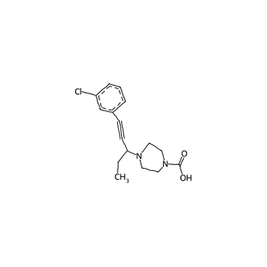 CCC(C#Cc1cccc(Cl)c1)N1CCN(C(=O)O)CC1